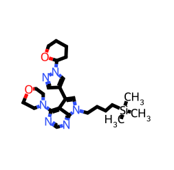 C[Si](C)(C)CCCCn1cc(-c2cnn(C3CCCCO3)c2)c2c(N3CCOCC3)ncnc21